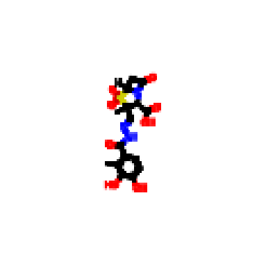 Cc1c(C(=O)N/N=C/[C@@]2(C)[C@H](C(=O)O)N3C(=O)C[C@H]3S2(=O)=O)ccc(O)c1O